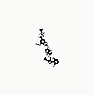 CC(C)Oc1cc(C(=O)NS(=O)(=O)C2CC2)cc2sc(O[C@@H]3CO[C@H]4[C@@H]3OC[C@@H]4OCc3c(-c4c(Cl)cccc4Cl)noc3C3CC3)nc12